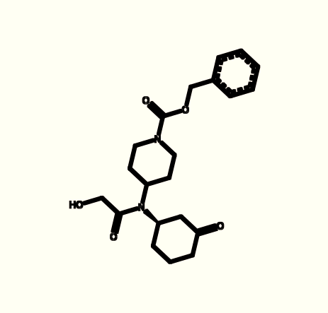 O=C1CCC[C@@H](N(C(=O)CO)C2CCN(C(=O)OCc3ccccc3)CC2)C1